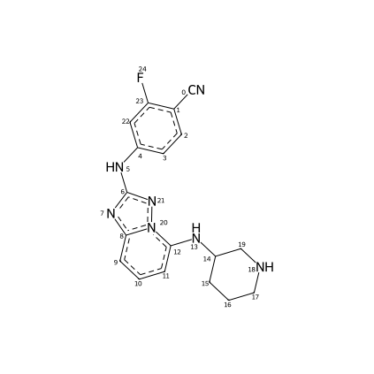 N#Cc1ccc(Nc2nc3cccc(NC4CCCNC4)n3n2)cc1F